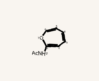 CC(=O)NC1=CC=CC=CO1